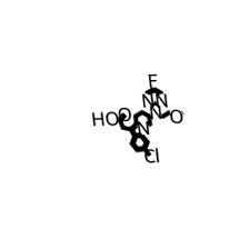 COCCN(c1ncc(F)cn1)C1CCc2c(CC(=O)O)c3ccc(Cl)cc3n2C1